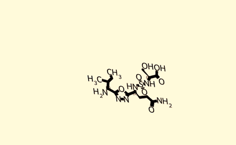 CCC(C)[C@H](N)c1nnc([C@H](CCC(N)=O)NS(=O)(=O)N[C@@H](CO)C(=O)O)o1